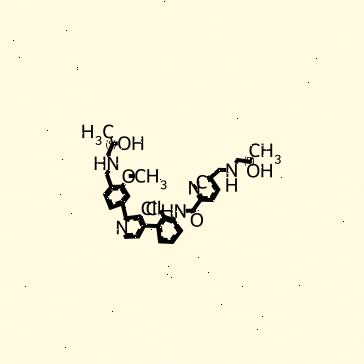 COc1cc(-c2nccc(-c3cccc(NC(=O)c4ccc(CNC[C@@H](C)O)cn4)c3Cl)c2Cl)ccc1CNC[C@H](C)O